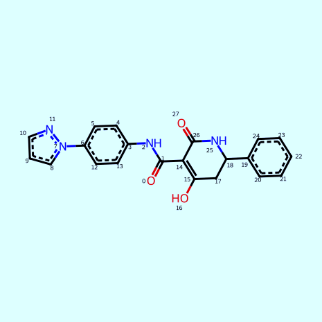 O=C(Nc1ccc(-n2cccn2)cc1)C1=C(O)CC(c2ccccc2)NC1=O